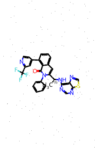 C[C@H](Nc1ncnc2scnc12)c1cc2cccc(-c3ccnc(C(F)(F)F)c3)c2c(=O)n1-c1ccccc1